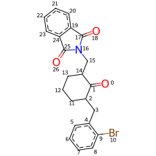 O=C1C(Cc2ccccc2Br)CCCC1CN1C(=O)c2ccccc2C1=O